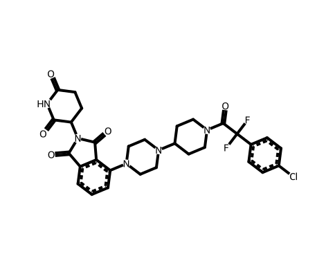 O=C1CCC(N2C(=O)c3cccc(N4CCN(C5CCN(C(=O)C(F)(F)c6ccc(Cl)cc6)CC5)CC4)c3C2=O)C(=O)N1